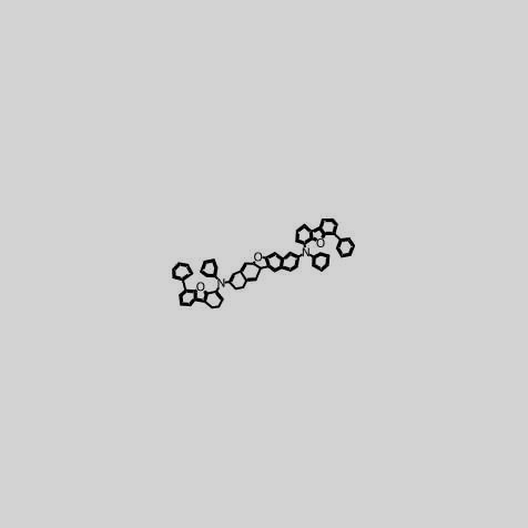 C1=C2C=C(N(C3=CCCc4c3oc3c(-c5ccccc5)cccc43)c3ccccc3)CCC2=CC2c3cc4ccc(N(c5ccccc5)c5cccc6c5oc5c(-c7ccccc7)cccc56)cc4cc3OC12